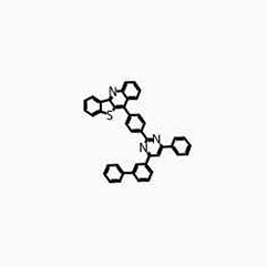 c1ccc(-c2cccc(-c3cc(-c4ccccc4)nc(-c4ccc(-c5c6ccccc6nc6c5sc5ccccc56)cc4)n3)c2)cc1